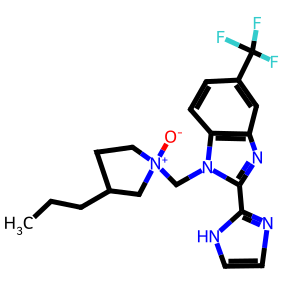 CCCC1CC[N+]([O-])(Cn2c(-c3ncc[nH]3)nc3cc(C(F)(F)F)ccc32)C1